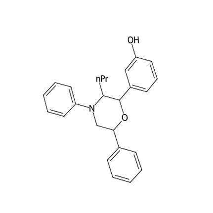 CCCC1C(c2cccc(O)c2)OC(c2ccccc2)CN1c1ccccc1